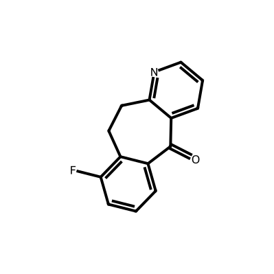 O=C1c2cccnc2CCc2c(F)cccc21